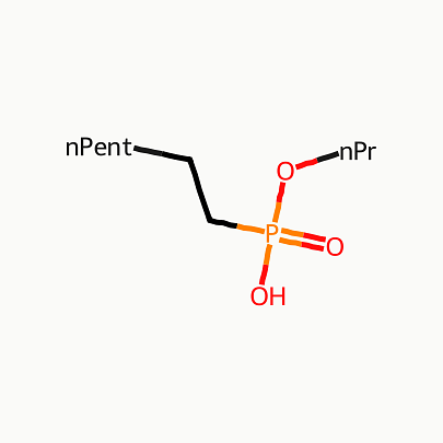 CCCCCCCP(=O)(O)OCCC